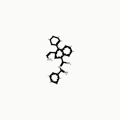 C/C=C\c1cc(/C(N)=N/C(=N)c2ccccc2)c2ccccc2c1C1=CCCCC1